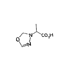 CC(C(=O)O)N1COC=N1